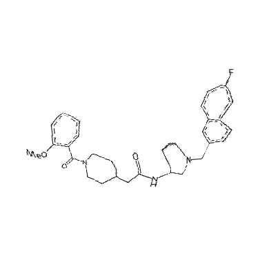 COc1ccccc1C(=O)N1CCC(CC(=O)NC2CCN(Cc3ccc4cc(F)ccc4c3)C2)CC1